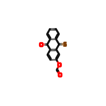 O=COc1ccc2c(c1)C(=S)c1ccccc1C2=O